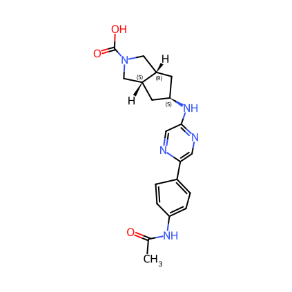 CC(=O)Nc1ccc(-c2cnc(N[C@H]3C[C@@H]4CN(C(=O)O)C[C@@H]4C3)cn2)cc1